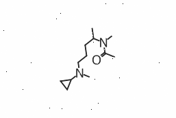 CC(=O)N(C)C(C)CCCN(C)C1CC1